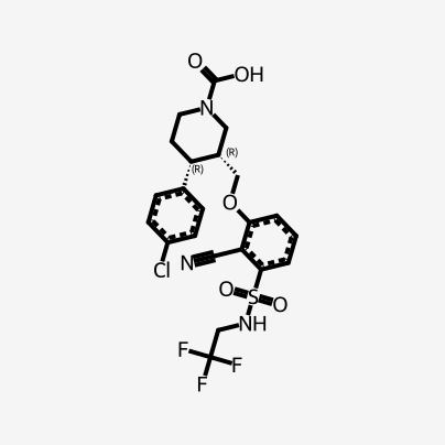 N#Cc1c(OC[C@H]2CN(C(=O)O)CC[C@H]2c2ccc(Cl)cc2)cccc1S(=O)(=O)NCC(F)(F)F